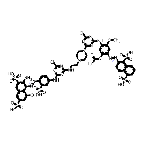 COc1cc(/N=N/c2ccc3c(S(=O)(=O)O)cccc3c2S(=O)(=O)O)c(NC(C)=O)cc1Nc1nc(Cl)nc(N2CCN(CCNc3nc(Cl)nc(Nc4ccc(/N=N/c5c(N)c(S(=O)(=O)O)cc6cc(S(=O)(=O)O)cc(O)c56)c(S(=O)(=O)O)c4)n3)CC2)n1